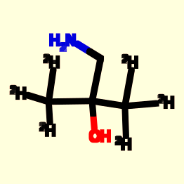 [2H]C([2H])([2H])C(O)(CN)C([2H])([2H])[2H]